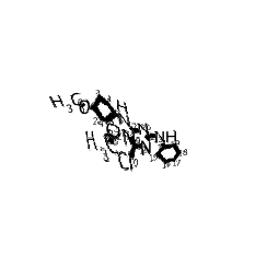 COc1ccc(Nc2nc(Cl)nc(NC3CCCCC3)n2)c(OC)c1